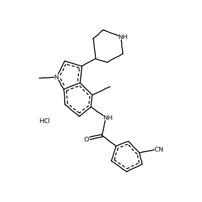 Cc1c(NC(=O)c2cccc(C#N)c2)ccc2c1c(C1CCNCC1)cn2C.Cl